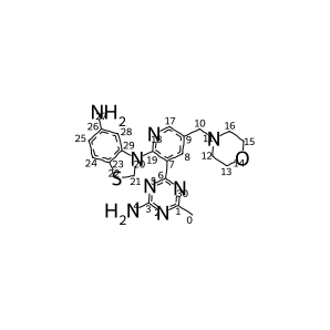 Cc1nc(N)nc(-c2cc(CN3CCOCC3)cnc2N2CSc3ccc(N)cc32)n1